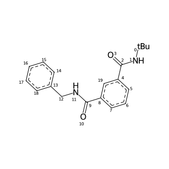 CC(C)(C)NC(=O)c1cccc(C(=O)NCc2ccccc2)c1